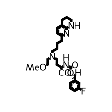 COCCN(CCCCc1ccc2c(n1)NCCC2)CCC(NC(=O)OCc1cccc(F)c1)C(=O)O